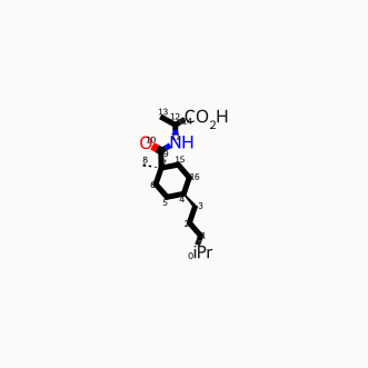 CC(C)CCC[C@H]1CC[C@@](C)(C(=O)NC(C)C(=O)O)CC1